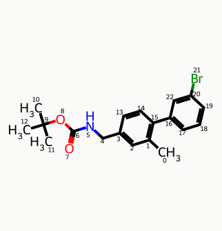 Cc1cc(CNC(=O)OC(C)(C)C)ccc1-c1cccc(Br)c1